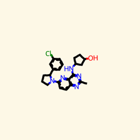 Cc1nc(NC2CCC(O)C2)c2nc(N3CCCC3c3cccc(Cl)c3)ccc2n1